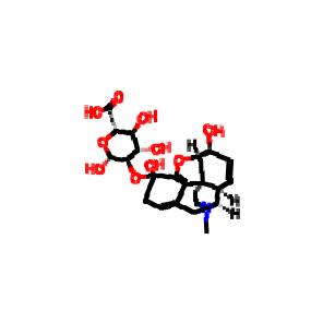 CN1CC[C@]23C4=C5O[C@H]2[C@@H](O)C=C[C@H]3[C@H]1CC4=CCC5(O)O[C@@H]1[C@@H](O)[C@H](O)[C@@H](C(=O)O)O[C@H]1O